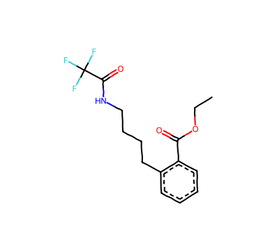 CCOC(=O)c1ccccc1CCCCNC(=O)C(F)(F)F